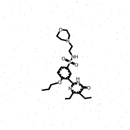 CCCOc1ccc(S(=O)(=O)NCCN2CCOCC2)cc1-c1nc(CC)c(CC)c(=O)[nH]1